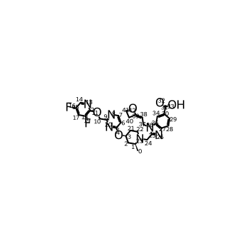 C[C@H]1C[C@@H](Oc2ccnc(COc3ncc(F)cc3F)n2)CCN1Cc1nc2ccc(C(=O)O)cc2n1C/C=C1\CCO1